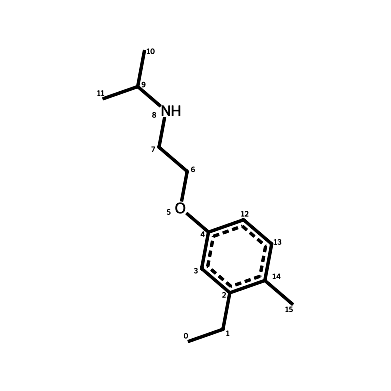 CCc1cc(OCCNC(C)C)ccc1C